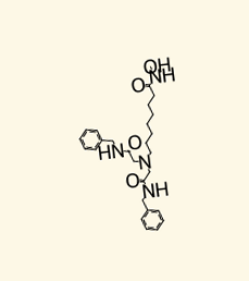 O=C(CCCCCCCN(CC(=O)NCc1ccccc1)CC(=O)NCc1ccccc1)NO